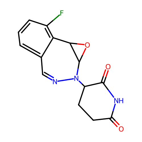 O=C1CCC(N2N=Cc3cccc(F)c3C3OC32)C(=O)N1